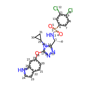 C[C@@H](NS(=O)(=O)c1ccc(Cl)c(Cl)c1)c1nnc(Oc2ccc3cc[nH]c3c2)n1C1CC1